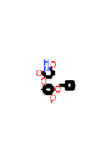 COc1ccc(OC2CCC(=O)NC2=O)cc1OCc1ccccc1